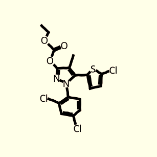 CCOC(=O)Oc1nn(-c2ccc(Cl)cc2Cl)c(-c2ccc(Cl)s2)c1C